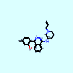 C=CCN1CCC[C@@H](Nc2nnc(-c3ccc(C)cc3O)c3ccccc23)C1